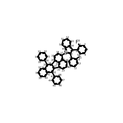 Fc1ccccc1-c1c(-c2ccccc2F)n(-c2ccc3c4c(cccc24)-c2c-3c(-c3ccccc3)c3ccccc3c2-c2ccccc2)c2ccccc12